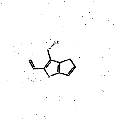 C=Cc1sc2c(c1SCC)CC=C2